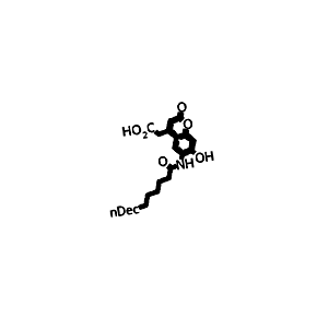 CCCCCCCCCCCCCCCC(=O)Nc1cc2c(CC(=O)O)cc(=O)oc2cc1O